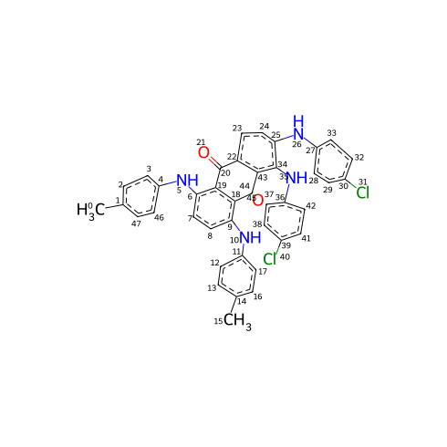 Cc1ccc(Nc2ccc(Nc3ccc(C)cc3)c3c2C(=O)c2ccc(Nc4ccc(Cl)cc4)c(Nc4ccc(Cl)cc4)c2C3=O)cc1